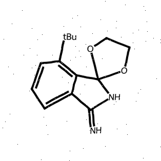 CC(C)(C)c1cccc2c1C1(NC2=N)OCCO1